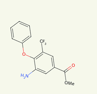 COC(=O)c1cc(N)c(Oc2ccccc2)c(C(F)(F)F)c1